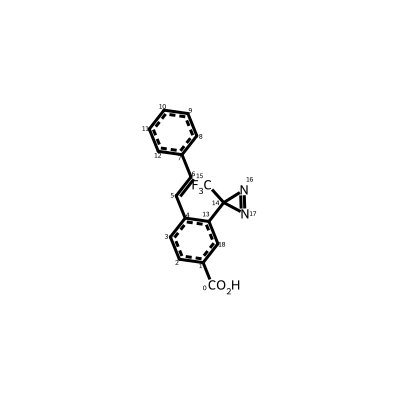 O=C(O)c1ccc(/C=C/c2ccccc2)c(C2(C(F)(F)F)N=N2)c1